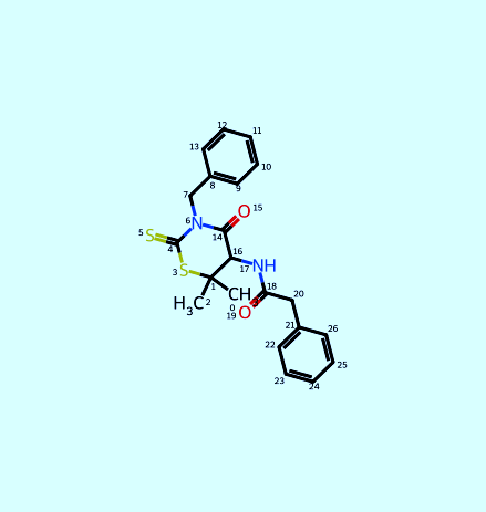 CC1(C)SC(=S)N(Cc2ccccc2)C(=O)C1NC(=O)Cc1ccccc1